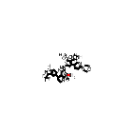 NS(=O)(=O)c1nccc(-c2ccc3[nH]nc(C(F)(F)F)c3c2)c1-c1nnn(-c2cc(-c3ccc(N4CCOCC4)nc3)c(-c3nn[nH]n3)c(S(N)(=O)=O)n2)n1